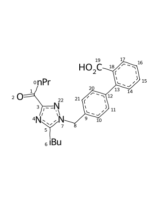 CCCC(=O)c1nc(C(C)CC)n(Cc2ccc(-c3ccccc3C(=O)O)cc2)n1